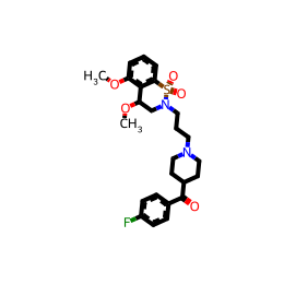 COc1cccc2c1C(OC)CN(CCCN1CCC(C(=O)c3ccc(F)cc3)CC1)S2(=O)=O